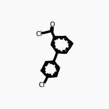 O=C(Cl)c1cccc(-c2ccc(Cl)cc2)c1